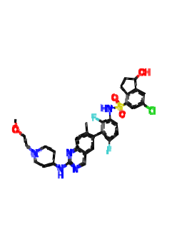 COCCN1CCC(Nc2ncc3cc(-c4c(F)ccc(NS(=O)(=O)c5cc(Cl)cc6c5CCC6O)c4F)c(C)cc3n2)CC1